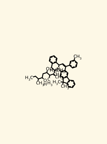 CCC(C)C(O)CC(O[C@H](c1ccccc1C1C=C(c2cccc(C)c2)c2cc3c(cc2N1C)C(C)(C)c1ccccc1-3)C(C)C)C(C)CC